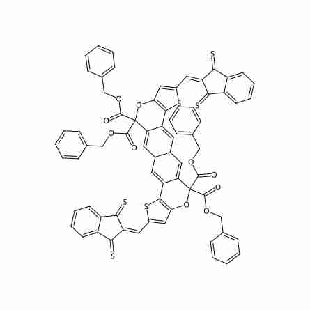 O=C(OCc1ccccc1)C1(C(=O)OCc2ccccc2)Oc2cc(C=C3C(=S)c4ccccc4C3=S)sc2C2=CC3C=C4C(=CC3C=C21)c1sc(C=C2C(=S)c3ccccc3C2=S)cc1OC4(C(=O)OCc1ccccc1)C(=O)OCc1ccccc1